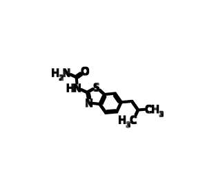 CC(C)Cc1ccc2nc(NC(N)=O)sc2c1